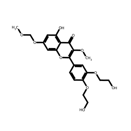 COCOc1cc(O)c2c(=O)c(OC)c(-c3ccc(OCCO)c(OCCO)c3)oc2c1